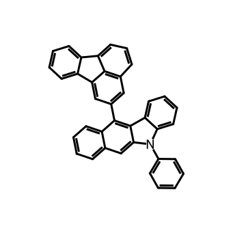 c1ccc(-n2c3ccccc3c3c(-c4cc5c6c(cccc6c4)-c4ccccc4-5)c4ccccc4cc32)cc1